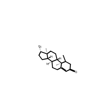 CC[C@H]1CC[C@H]2[C@@H]3CCC4=CC(=O)CC(C)[C@]4(C)[C@H]3CC[C@]12C